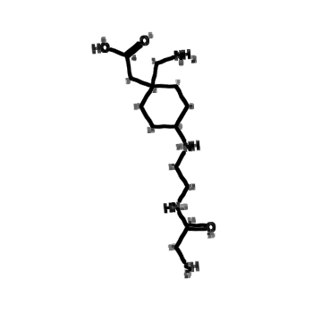 NCC1(CC(=O)O)CCC(NCCNC(=O)CS)CC1